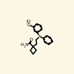 CCOc1cccc(N(CCC2(C(N)=O)CCC2)c2ccccc2)c1